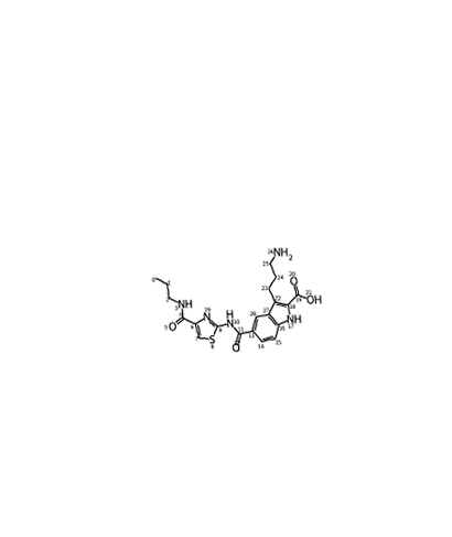 CCCNC(=O)c1csc(NC(=O)c2ccc3[nH]c(C(=O)O)c(CCCN)c3c2)n1